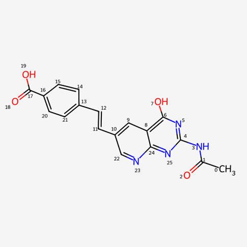 CC(=O)Nc1nc(O)c2cc(C=Cc3ccc(C(=O)O)cc3)cnc2n1